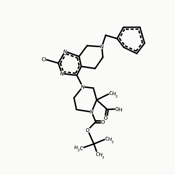 CC(C)(C)OC(=O)N1CCN(c2nc(Cl)nc3c2CCN(Cc2ccccc2)C3)CC1(C)C(=O)O